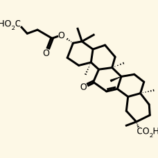 CC1(C)C2CC[C@]3(C)C(C(=O)C=C4C5C[C@@](C)(C(=O)O)CC[C@]5(C)CC[C@]43C)[C@@]2(C)CC[C@@H]1OC(=O)CCC(=O)O